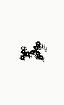 CC1(C)c2ccccc2-c2ccc(N(c3ccc(-c4ccc5c(c4)c4cc(C#N)ccc4n5-c4ccccc4)cc3)c3ccc4c(c3)C(C)(C)c3ccccc3-4)cc21